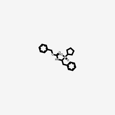 O=C(NC(Cc1ccccc1)P(=O)(O)C1CCCC1)OCc1ccccc1